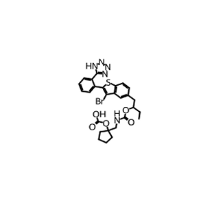 CCC(Cc1ccc2sc(-c3ccccc3-c3nnn[nH]3)c(Br)c2c1)OC(=O)NCC1(OC(=O)O)CCCC1